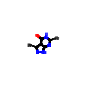 CC(C)c1nc2[nH]nc(C(C)C)c2c(=O)[nH]1